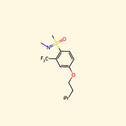 CN=S(C)(=O)c1ccc(OCCC(C)C)cc1C(F)(F)F